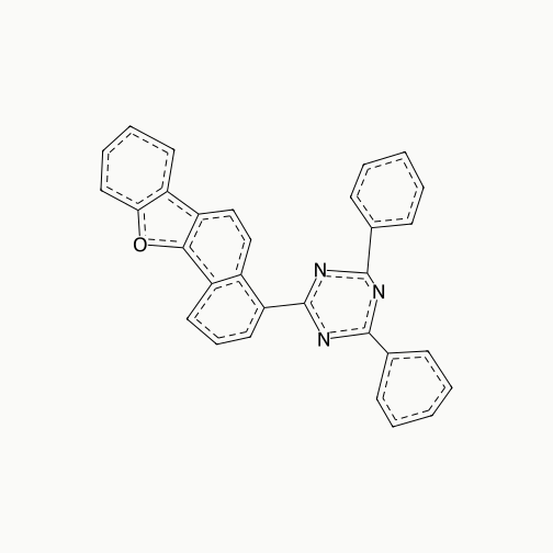 c1ccc(-c2nc(-c3ccccc3)nc(-c3cccc4c3ccc3c5ccccc5oc43)n2)cc1